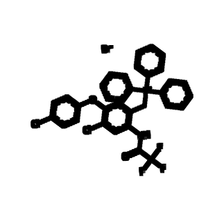 O=C(Nc1cc(Cl)c(Oc2ccc(Cl)cc2)cc1C[P+](c1ccccc1)(c1ccccc1)c1ccccc1)C(F)(F)F.[Br-]